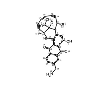 CC(O)[C@@]12O[C@]13c1cc(O)c4c(c1N[C@H]2C#C/C=C\C#C[C@H]3O)C(=O)c1ccc(CN)cc1C4=O